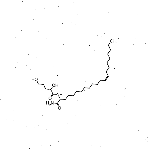 CCCCCCCC/C=C\CCCCCCCCCCC(NC(=O)C(O)CCCO)C(N)=O